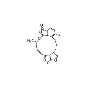 CC1C/C=C\C(=O)C(N=O)C(N=O)CCCc2c(F)ccc(N=O)c2C(=O)O1